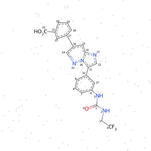 O=C(NCC(F)(F)F)Nc1cccc(-c2cnc3cc(-c4cccc(C(=O)O)c4)cnn23)c1